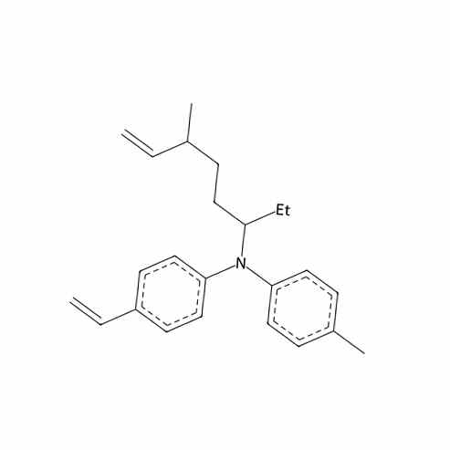 C=Cc1ccc(N(c2ccc(C)cc2)C(CC)CCC(C)C=C)cc1